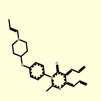 C=C/C=c1/nc(C)n(-c2ccc(OC3CCN(/C=C/C)CC3)cc2)c(=O)/c1=C/C=C